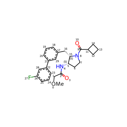 COCC(=O)N[C@H]1CCN(C(=O)C2CCC2)[C@H]1Cc1cccc(-c2cccc(F)c2)c1